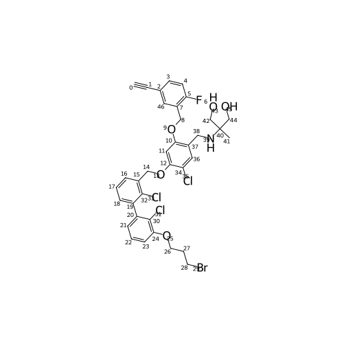 C#Cc1ccc(F)c(COc2cc(OCc3cccc(-c4cccc(OCCCBr)c4Cl)c3Cl)c(Cl)cc2CNC(C)(CO)CO)c1